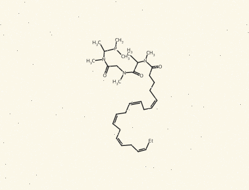 CC/C=C\C/C=C\C/C=C\C/C=C\C/C=C\CCCC(=O)N(C)C(C)C(=O)N(C)CC(=O)N(C)C(C)P(C)C